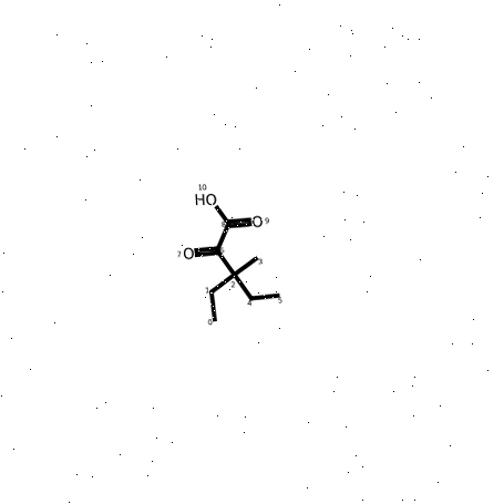 CCC(C)(CC)C(=O)C(=O)O